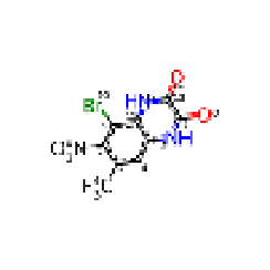 O=c1[nH]c2cc(C(F)(F)F)c([N+](=O)[O-])c(Br)c2[nH]c1=O